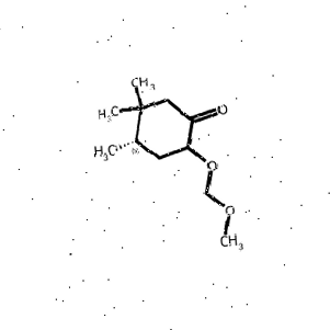 COCOC1C[C@H](C)C(C)(C)CC1=O